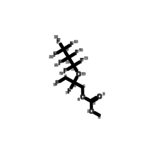 COC(=O)OCC(F)(CF)OC(F)(F)C(F)(F)C(F)(F)F